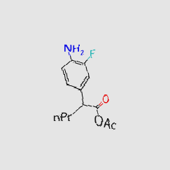 CCCC(C(=O)OC(C)=O)c1ccc(N)c(F)c1